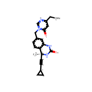 COCc1cc(=O)n(Cc2ccc3c(c2)NC(=O)N[C@]3(C#CC2CC2)C(F)(F)F)cn1